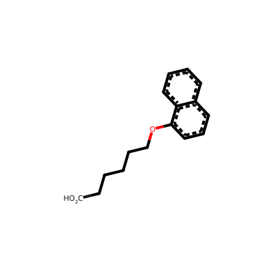 O=C(O)CCCCCOc1cccc2ccccc12